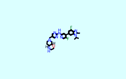 Cc1nc2c(F)cc(-c3cc(Nc4ncc(CN5CC[C@@H]6NCCO[C@H]6C5)cn4)ncc3F)cc2n1C(C)C